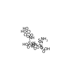 CC(C)(O/N=C(\C(=O)NC1C(=O)N2C[C@](SCCNC(=O)C(=O)c3ccc(O)c(O)c3Cl)(C(=O)O)S[C@H]12)c1csc(N)n1)C(=O)O